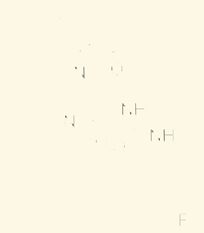 CN1C(=O)C(NC(=O)Nc2ccc(F)cc2)C(=O)N(C23CC4CC(CC(C4)C2)C3)c2ccccc21